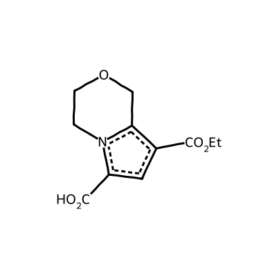 CCOC(=O)c1cc(C(=O)O)n2c1COCC2